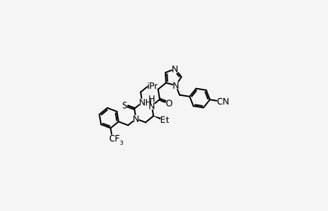 CC[C@@H](CN(Cc1ccccc1C(F)(F)F)C(=S)NCC(C)C)NC(=O)Cc1cncn1Cc1ccc(C#N)cc1